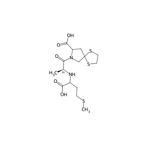 CSCCC(N[C@@H](C)C(=O)N1CC2(CC1C(=O)O)SCCS2)C(=O)O